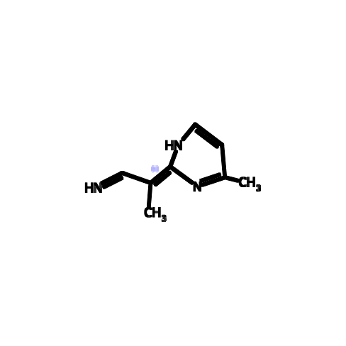 CC1=N/C(=C(\C)C=N)NC=C1